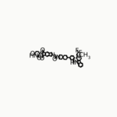 C[C@@H]1Cc2c([nH]c3ccccc23)[C@@H](c2ccc(C3=CCC4(CC3)CCN(C(=O)CN3Cc5cc6c(cc5C3)C(=O)N(C3CCC(=O)NC3=O)C6=O)CC4)cc2F)N1CC(F)F